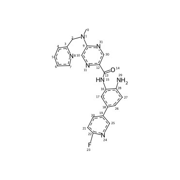 CN(Cc1ccccn1)c1cnc(C(=O)Nc2cc(-c3ccc(F)nc3)ccc2N)cn1